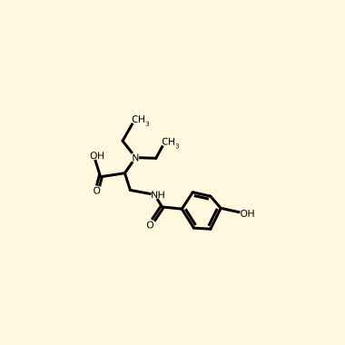 CCN(CC)C(CNC(=O)c1ccc(O)cc1)C(=O)O